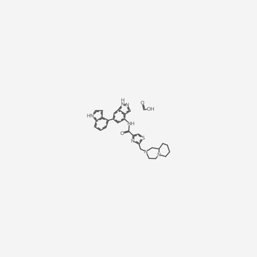 O=C(Nc1cc(-c2cccc3[nH]ccc23)cc2[nH]ncc12)c1csc(CN2CCN3CCCCC3C2)n1.O=CO